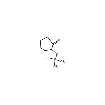 C[Si](C)(C)OC1CCCCC1=O